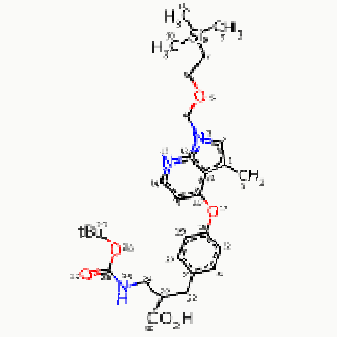 Cc1cn(COCC[Si](C)(C)C)c2nccc(Oc3ccc(CC(CNC(=O)OC(C)(C)C)C(=O)O)cc3)c12